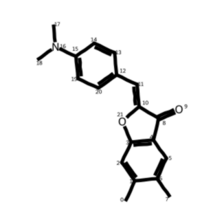 Cc1cc2c(cc1C)C(=O)/C(=C/c1ccc(N(C)C)cc1)O2